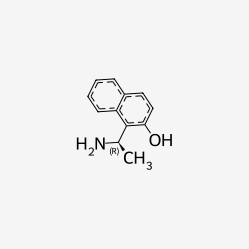 C[C@@H](N)c1c(O)ccc2ccccc12